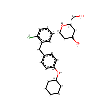 OC[C@@H]1CC(O)C[C@H](c2ccc(Cl)c(Cc3ccc(OC4CCCCC4)cc3)c2)O1